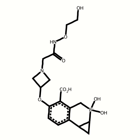 O=C(CN1CC(Oc2ccc3c(c2C(=O)O)C[B-](O)(O)C2CC32)C1)NOCCO